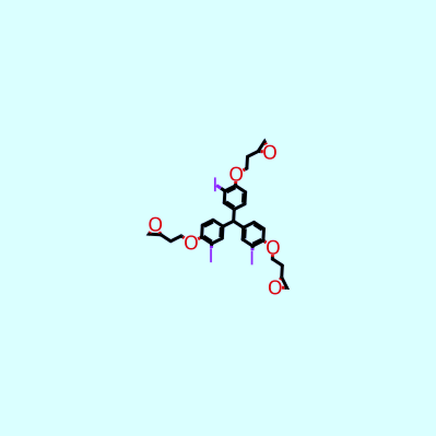 Ic1cc(C(c2ccc(OCCC3CO3)c(I)c2)c2ccc(OCCC3CO3)c(I)c2)ccc1OCCC1CO1